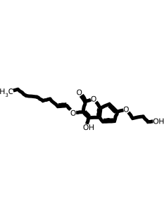 CCCCCCC=COc1c(O)c2ccc(OCCCO)cc2oc1=O